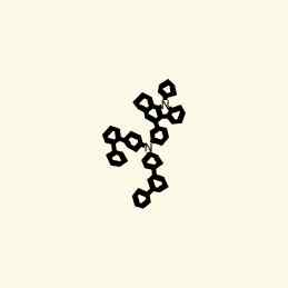 c1ccc(-c2cccc(-c3ccc(N(c4ccc(-c5ccccc5-c5ccccc5)cc4)c4cccc(-c5cc6ccccc6c6c5c5ccccc5n6-c5ccccc5)c4)cc3)c2)cc1